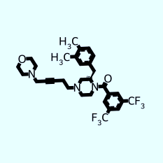 Cc1ccc(C[C@@H]2CN(CCC#CCN3CCOCC3)CCN2C(=O)c2cc(C(F)(F)F)cc(C(F)(F)F)c2)cc1C